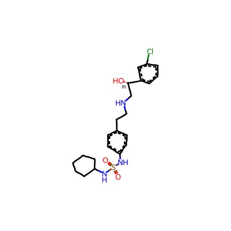 O=S(=O)(Nc1ccc(CCNC[C@H](O)c2cccc(Cl)c2)cc1)NC1CCCCC1